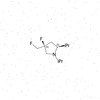 CC(C)[C@@H]1C[C@@](F)(CF)CN1C(C)C